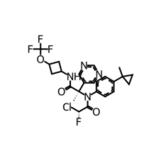 CC1(c2ccc(N(C(=O)[C@H](F)Cl)[C@@](C)(C(=O)NC3CC(OC(F)(F)F)C3)c3cncnc3)cc2)CC1